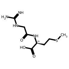 CSCC[C@H](NC(=O)CNC(=N)N)C(=O)O